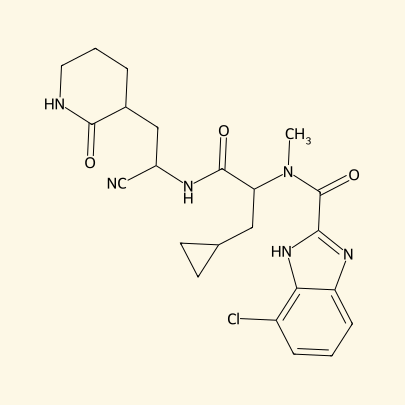 CN(C(=O)c1nc2cccc(Cl)c2[nH]1)C(CC1CC1)C(=O)NC(C#N)CC1CCCNC1=O